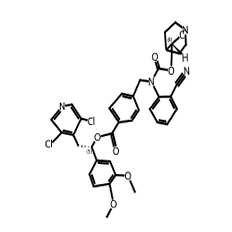 COc1ccc([C@H](Cc2c(Cl)cncc2Cl)OC(=O)c2ccc(CN(C(=O)O[C@H]3CN4CCC3CC4)c3ccccc3C#N)cc2)cc1OC